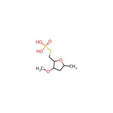 COC1CC(C)OC1CSP(=O)(O)O